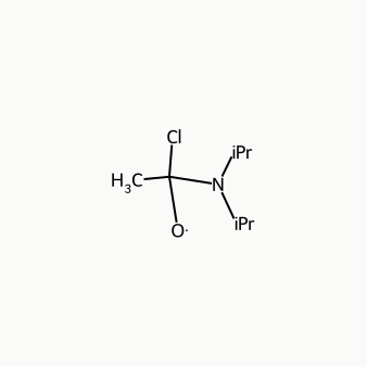 CC(C)N(C(C)C)C(C)([O])Cl